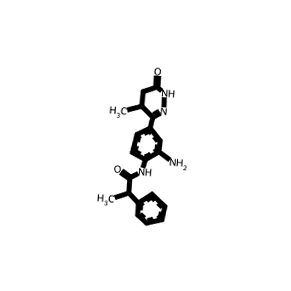 CC1CC(=O)NN=C1c1ccc(NC(=O)C(C)c2ccccc2)c(N)c1